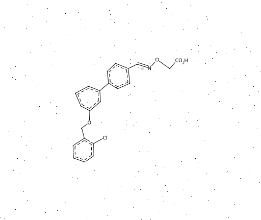 O=C(O)CO/N=C/c1ccc(-c2cccc(OCc3ccccc3Cl)c2)cc1